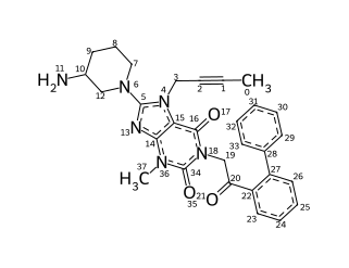 CC#CCn1c(N2CCCC(N)C2)nc2c1c(=O)n(CC(=O)c1ccccc1-c1ccccc1)c(=O)n2C